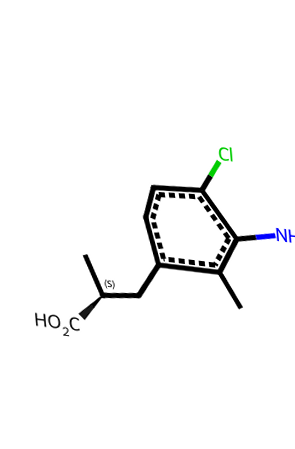 Cc1c(C[C@H](C)C(=O)O)ccc(Cl)c1N